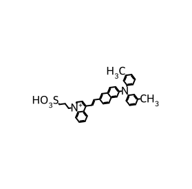 Cc1cccc(N(c2cccc(C)c2)c2ccc3cc(/C=C/c4cc[n+](CCCS(=O)(=O)O)c5ccccc45)ccc3c2)c1